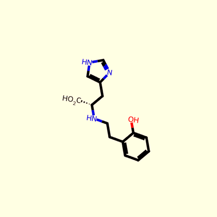 O=C(O)[C@H](Cc1c[nH]cn1)NCCc1ccccc1O